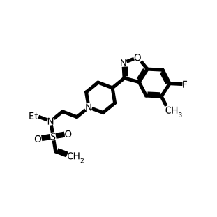 C=CS(=O)(=O)N(CC)CCN1CCC(c2noc3cc(F)c(C)cc23)CC1